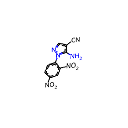 N#Cc1cnn(-c2ccc([N+](=O)[O-])cc2[N+](=O)[O-])c1N